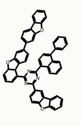 C1=CC2Oc3cc(-c4ccc5c(c4)oc4ccccc45)ccc3C2C(c2nc(-c3ccc4oc5ccccc5c4c3)nc(-c3ccc(-c4ccccc4)c4ccccc34)n2)=C1